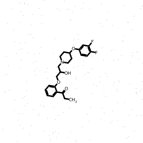 CCC(=O)c1ccccc1OCC(O)CN1CCC(Oc2ccc(F)c(F)c2)CC1